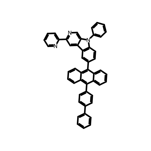 c1ccc(-c2ccc(-c3c4ccccc4c(-c4ccc5c(c4)c4cc(-c6ccccn6)ncc4n5-c4ccccc4)c4ccccc34)cc2)cc1